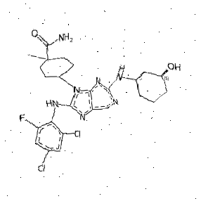 CC1(C(N)=O)CCC(n2c(Nc3c(F)cc(Cl)cc3Cl)nc3cnc(NC4CCC[C@H](O)C4)nc32)CC1